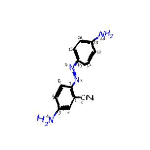 N#Cc1cc(N)ccc1/N=N/c1ccc(N)cc1